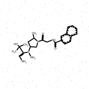 CC1CC(N(N)/C(=C\N)C(C)(C)O)CN1C(=O)CNC(=O)c1ccc2ccccc2c1